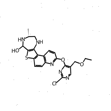 CCOCc1cnc(Cl)nc1Oc1ccc2c(ccc3sc4c(c32)NC[C@@H](C)NC4O)n1